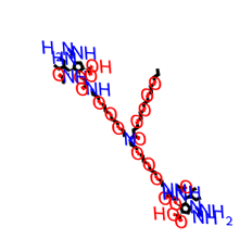 CCCOCCOCCOCCOCCC(=O)N(CCOCCOCCOCCNC(=O)CO[C@H]1[C@@H]([C@H](NC(C)=O)C(CC)CC)[C@H](NC(=N)N)C[C@@H]1C(=O)O)CCOCCOCCOCCNC(=O)CO[C@H]1[C@@H]([C@H](NC(C)=O)C(CC)CC)[C@H](NC(=N)N)C[C@@H]1C(=O)O